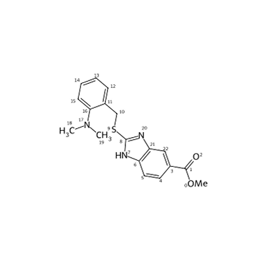 COC(=O)c1ccc2[nH]c(SCc3ccccc3N(C)C)nc2c1